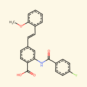 COc1ccccc1/C=C/c1ccc(C(=O)O)c(NC(=O)c2ccc(F)cc2)c1